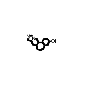 Oc1ccc2c(c1)C=CC=C1C=C3C=NCN3C=C12